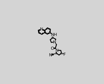 N#C[C@@H]1C[C@H](F)CN1C(=O)CN1CC[C@H](Nc2ccc3ncccc3c2)C1